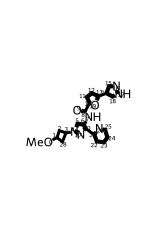 COC1CC(n2cc(NC(=O)c3ccc(-c4cn[nH]c4)o3)c(-c3ccccn3)n2)C1